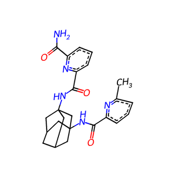 Cc1cccc(C(=O)NC23CC4CC(C2)CC(NC(=O)c2cccc(C(N)=O)n2)(C4)C3)n1